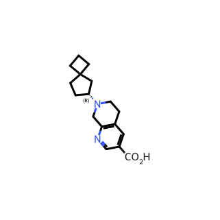 O=C(O)c1cnc2c(c1)CCN([C@@H]1CCC3(CCC3)C1)C2